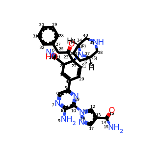 N#CC1C=C(c2cnc(N)c(-n3cc(C(N)=O)cn3)n2)C=CC1(C(=O)C(O)c1ccccc1)N1[C@@H]2CC[C@H]1CNC2